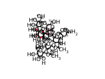 CC(=O)N[C@@H]1[C@@H](O[C@@H]2O[C@H](CO)[C@@H](O)[C@H](O[C@H]3O[C@H](CO)[C@@H](O)[C@H](O)[C@@H]3O)[C@H]2NC(C)=O)[C@H](O[C@@H]2O[C@H](CO)[C@@H](O)[C@H](O)[C@@H]2O)[C@@H](CO[C@H]2O[C@H](CO)[C@@H](O)[C@H](O[C@H]3O[C@H](CO)[C@@H](O)[C@H](O)[C@@H]3O)[C@@H]2O[C@H]2O[C@H](CO)[C@@H](O)[C@H](O)[C@@H]2O)O[C@H]1N[C@@H](CC(N)=O)C(=O)O